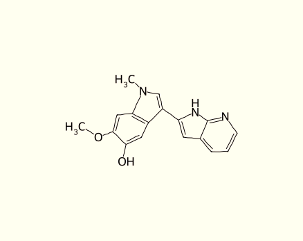 COc1cc2c(cc1O)c(-c1cc3cccnc3[nH]1)cn2C